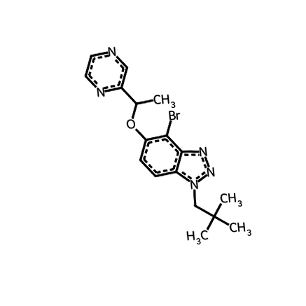 CC(Oc1ccc2c(nnn2CC(C)(C)C)c1Br)c1cnccn1